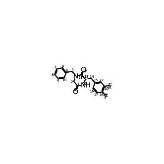 O=C1CN(Cc2ccccc2)C(=O)[C@@H](Cc2ccc(F)c(F)c2)N1